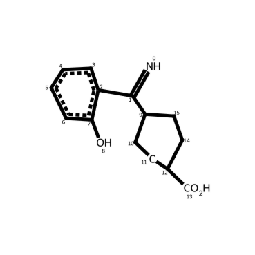 N=C(c1ccccc1O)C1CCC(C(=O)O)CC1